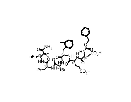 CCCC[C@H](NC(=O)[C@H](CC(C)C)NC(=O)[C@@H](NC(=O)[C@H](Cc1ccccc1C)NC(=O)[C@H](CCC(=O)O)NC(=O)[C@H](CC(=O)O)NC(=O)OCc1ccccc1)C(C)(C)C)C(=O)C(N)=O